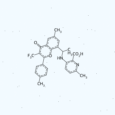 Cc1ccc(-c2oc3c(C(C)Nc4ccc(C)nc4C(=O)O)cc(C)cc3c(=O)c2C(F)(F)F)cc1